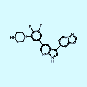 Fc1cc(-c2cnc3[nH]cc(-c4ccn5nccc5c4)c3c2)cc(N2CCNCC2)c1F